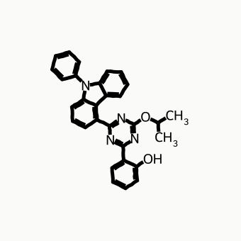 CC(C)Oc1nc(-c2ccccc2O)nc(-c2cccc3c2c2ccccc2n3-c2ccccc2)n1